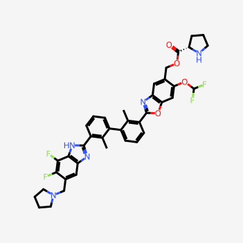 Cc1c(-c2nc3cc(CN4CCCC4)c(F)c(F)c3[nH]2)cccc1-c1cccc(-c2nc3cc(COC(=O)[C@@H]4CCCN4)c(OC(F)F)cc3o2)c1C